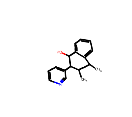 CC1c2ccccc2C(O)C(c2cccnc2)C1C